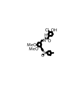 COc1cc(/C=N/NC(=O)c2ccc(O)c(Cl)c2)cc(C#C[S+]([O-])c2ccc(C)cc2)c1OC